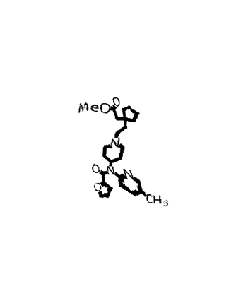 COC(=O)CC1(CCN2CCC(N(C(=O)c3ccco3)c3ccc(C)cn3)CC2)CCCC1